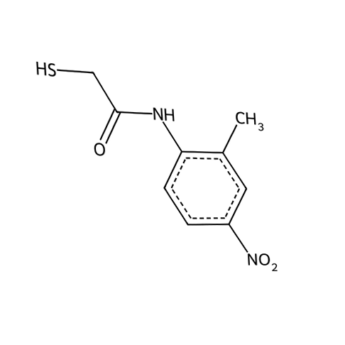 Cc1cc([N+](=O)[O-])ccc1NC(=O)CS